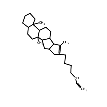 C=CNCCCCC1=C(C)C2C(C1)CC1C2CCC2C3(C)CCCCC3CCC12C